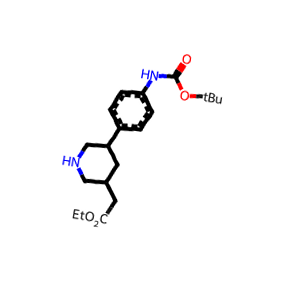 CCOC(=O)CC1CNCC(c2ccc(NC(=O)OC(C)(C)C)cc2)C1